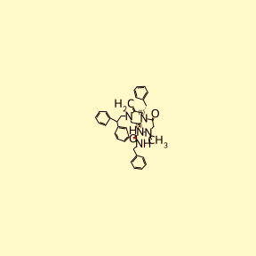 C=C1[C@H](Cc2ccccc2)N2C(=O)CN(C)N(C(=O)NCc3ccccc3)[C@H]2CN1CC(c1ccccc1)c1ccccc1